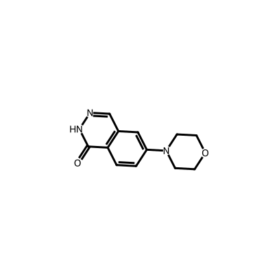 O=c1[nH]ncc2cc(N3CCOCC3)ccc12